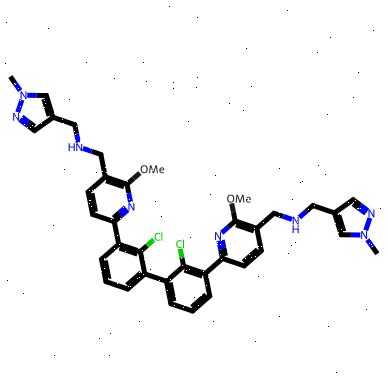 COc1nc(-c2cccc(-c3cccc(-c4ccc(CNCc5cnn(C)c5)c(OC)n4)c3Cl)c2Cl)ccc1CNCc1cnn(C)c1